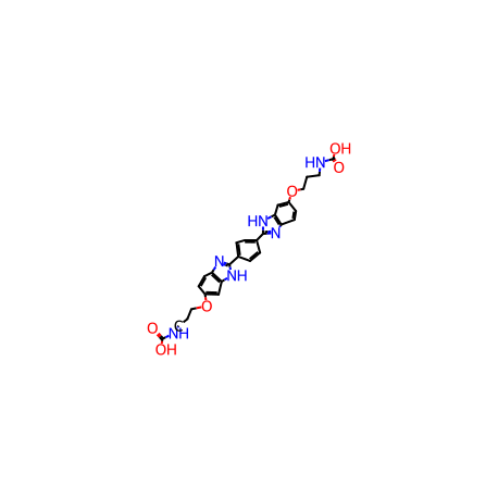 O=C(O)NCCCOc1ccc2nc(-c3ccc(-c4nc5ccc(OCCCNC(=O)O)cc5[nH]4)cc3)[nH]c2c1